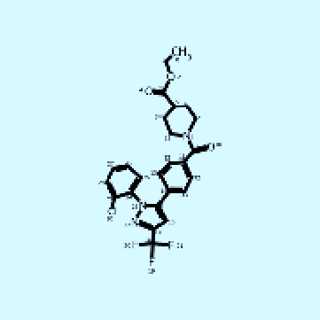 CCOC(=O)C1CCN(C(=O)c2ccc(-c3cc(C(F)(F)F)nn3-c3ccccc3Cl)cc2)CC1